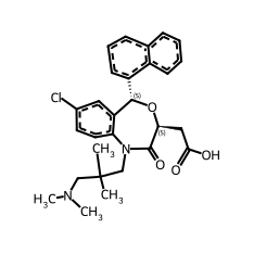 CN(C)CC(C)(C)CN1C(=O)[C@H](CC(=O)O)O[C@@H](c2cccc3ccccc23)c2cc(Cl)ccc21